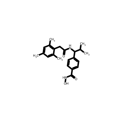 Cc1cc(C)c(CC(=O)NC(c2ccc(C(=O)NO)cc2)C(C)C)c(C)c1